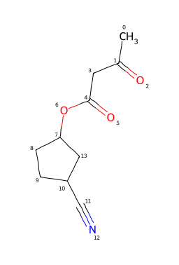 CC(=O)CC(=O)OC1CCC(C#N)C1